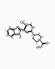 CCCC(=O)N1CCN(c2ncc(Cl)c(-c3nc4ccccc4n3C)n2)CC1